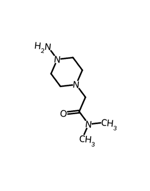 CN(C)C(=O)CN1CCN(N)CC1